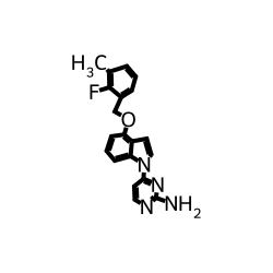 Cc1cccc(COc2cccc3c2ccn3-c2ccnc(N)n2)c1F